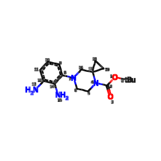 CC(C)(C)OC(=O)N1CCN(c2cccc(N)c2N)CC12CC2